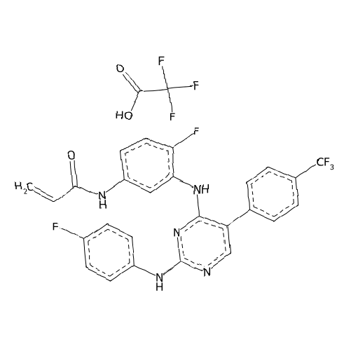 C=CC(=O)Nc1ccc(F)c(Nc2nc(Nc3ccc(F)cc3)ncc2-c2ccc(C(F)(F)F)cc2)c1.O=C(O)C(F)(F)F